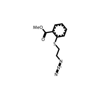 COC(=O)c1ccccc1SCCN=[N+]=[N-]